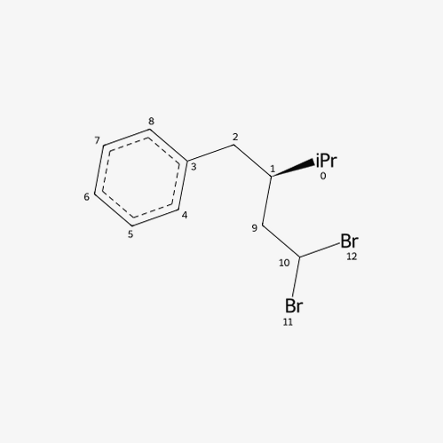 CC(C)[C@H](Cc1ccccc1)CC(Br)Br